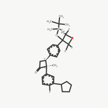 CC(C)(C)[Si](C)(C)OC(c1ccc([C@@H]2CC(=O)[C@]2(C)c2ccc(F)c(C3CCCC3)c2)cc1)(C(F)(F)F)C(F)(F)F